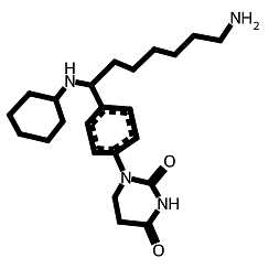 NCCCCCCC(NC1CCCCC1)c1ccc(N2CCC(=O)NC2=O)cc1